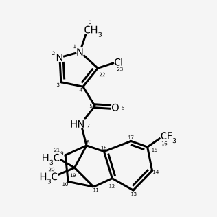 Cn1ncc(C(=O)NC23CCC(c4ccc(C(F)(F)F)cc42)C3(C)C)c1Cl